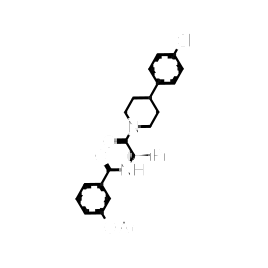 CC(=O)Oc1cccc(C(=O)N[C@@H](C(=O)N2CCC(c3ccc(Cl)cc3)CC2)C(C)C)c1